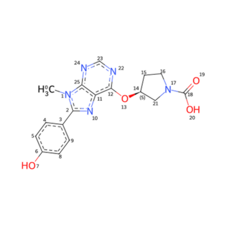 Cn1c(-c2ccc(O)cc2)nc2c(O[C@H]3CCN(C(=O)O)C3)ncnc21